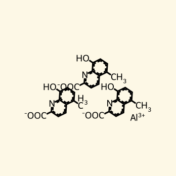 Cc1ccc(O)c2nc(C(=O)[O-])ccc12.Cc1ccc(O)c2nc(C(=O)[O-])ccc12.Cc1ccc(O)c2nc(C(=O)[O-])ccc12.[Al+3]